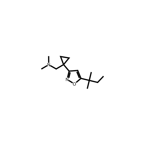 CCC(C)(C)c1cc(C2(CN(C)C)CC2)no1